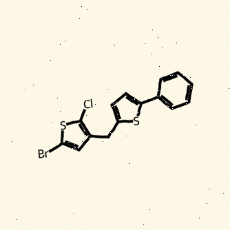 Clc1sc(Br)cc1Cc1ccc(-c2ccccc2)s1